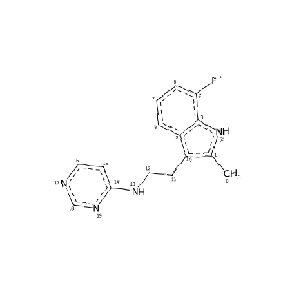 Cc1[nH]c2c(F)cccc2c1CCNc1ccncn1